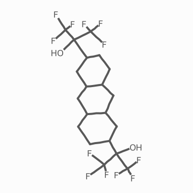 OC(C1CCC2CC3CC(C(O)(C(F)(F)F)C(F)(F)F)CCC3CC2C1)(C(F)(F)F)C(F)(F)F